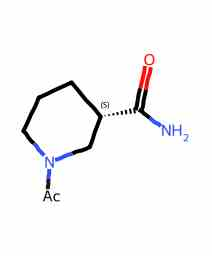 CC(=O)N1CCC[C@H](C(N)=O)C1